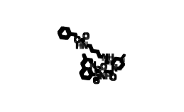 Cc1cnc2c(S(=O)(=O)NCC(=O)N3CC[C@H](C)C[C@H]3C(=O)NCCCCNC(=O)OCc3ccccc3)cccc2c1